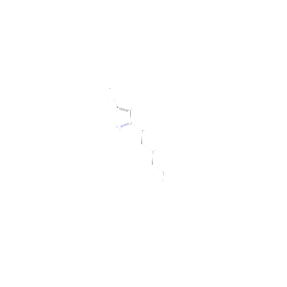 COCCCCCc1cc(C)on1